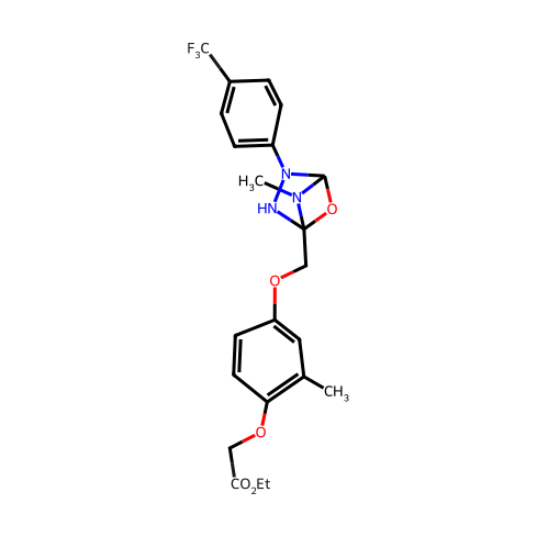 CCOC(=O)COc1ccc(OCC23NN(c4ccc(C(F)(F)F)cc4)C(O2)N3C)cc1C